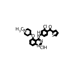 CN1CCC(Oc2cccc3ncnc(Nc4ccc(C(=O)c5cccs5)c(Cl)c4)c23)CC1.Cl